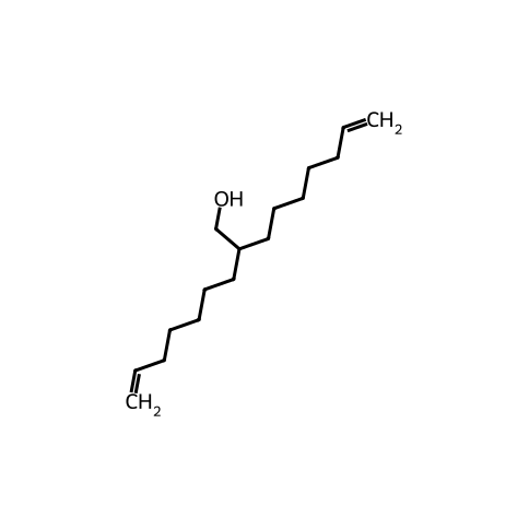 C=CCCCCCC(CO)CCCCCC=C